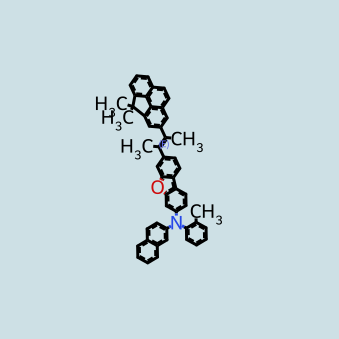 C/C(=C(/C)c1ccc2c(c1)oc1cc(N(c3ccc4ccccc4c3)c3ccccc3C)ccc12)c1cc2c3c(ccc4cccc(c43)C2(C)C)c1